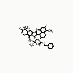 CCCCC(C)(C)C(=O)N(C(=O)OCc1ccccc1)C1CCc2c(C)c(F)cc3nc4c(c1c23)Cn1c-4cc2c(c1=O)COC(=O)C2(O)CC